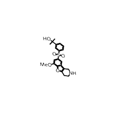 COc1cc(S(=O)(=O)c2cccc(C(C)(C)O)c2)cc2c3c(oc12)CCNC3